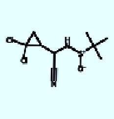 CC(C)(C)[S+]([O-])NC(C#N)C1CC1(Cl)Cl